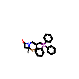 O=C1C[C@H]2SCC(C=P(c3ccccc3)(c3ccccc3)c3ccccc3)=CN12